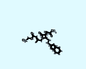 CC(=CC(=O)OCC(Cl)(Cl)Cl)CN1C(=O)C(NC(=O)C(Cl)(Cl)Cl)C1SSc1nc2ccccc2s1